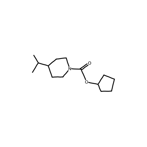 CC(C)C1CCN(C(=O)OC2CCCC2)CC1